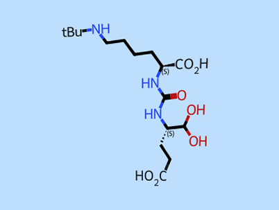 CC(C)(C)NCCCC[C@H](NC(=O)N[C@@H](CCC(=O)O)C(O)O)C(=O)O